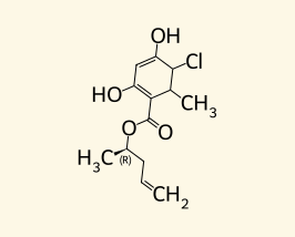 C=CC[C@@H](C)OC(=O)C1=C(O)C=C(O)C(Cl)C1C